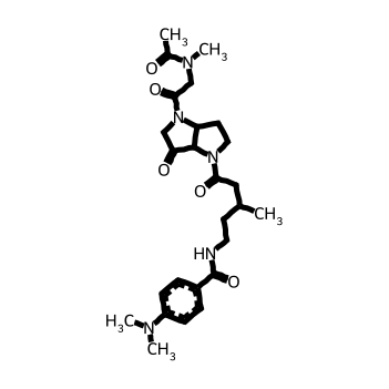 CC(=O)N(C)CC(=O)N1CC(=O)C2C1CCN2C(=O)CC(C)CCNC(=O)c1ccc(N(C)C)cc1